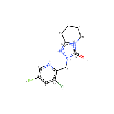 O=c1n(Cc2ncc(F)cc2Cl)nc2n1CCCC2